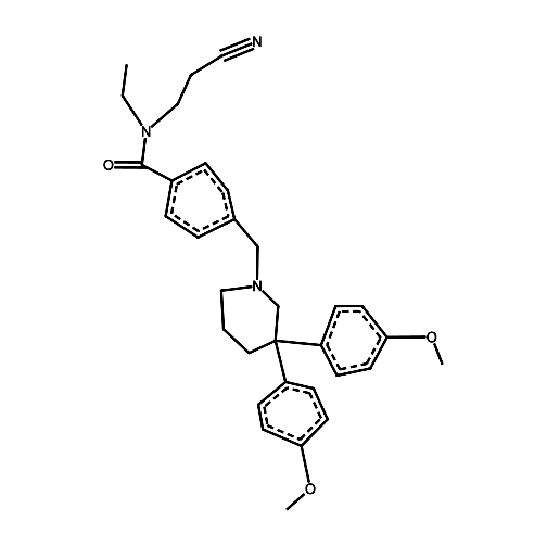 CCN(CCC#N)C(=O)c1ccc(CN2CCCC(c3ccc(OC)cc3)(c3ccc(OC)cc3)C2)cc1